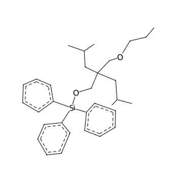 CCCOCC(CO[Si](c1ccccc1)(c1ccccc1)c1ccccc1)(CC(C)C)CC(C)C